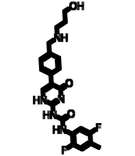 Cc1cc(F)c(NC(=O)Nc2nc(=O)c(-c3ccc(CNCCCO)cc3)c[nH]2)cc1F